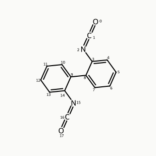 O=C=Nc1ccccc1-c1ccccc1N=C=O